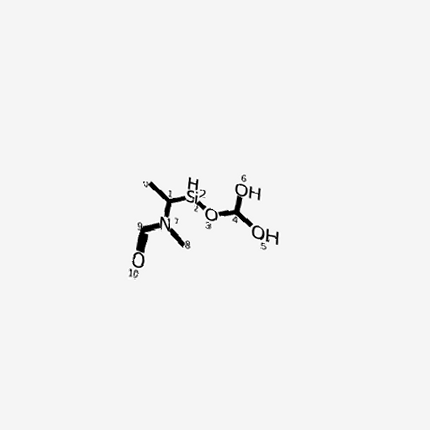 CC([SiH2]OC(O)O)N(C)C=O